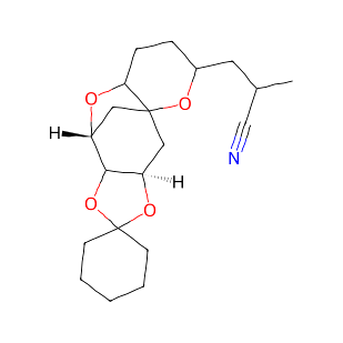 CC(C#N)CC1CCC2O[C@@H]3CC2(C[C@H]2OC4(CCCCC4)OC32)O1